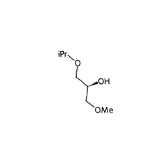 COC[C@H](O)COC(C)C